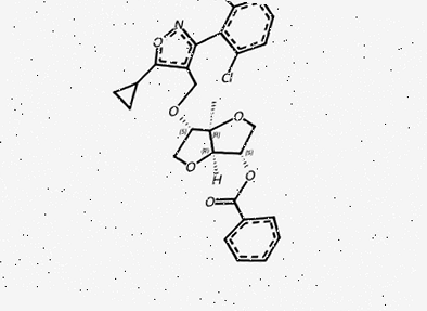 C[C@]12OC[C@H](OC(=O)c3ccccc3)[C@H]1OC[C@@H]2OCc1c(-c2c(Cl)cccc2Cl)noc1C1CC1